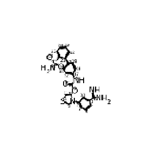 N=C(N)c1cccc(N2CSCC2OC(=O)Nc2ccc(-c3ccccc3S(N)(=O)=O)cc2)c1